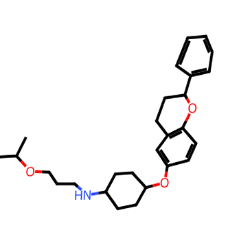 CC(C)OCCCNC1CCC(Oc2ccc3c(c2)CCC(c2ccccc2)O3)CC1